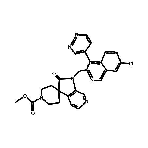 COC(=O)N1CCC2(CC1)C(=O)N(Cc1ncc3cc(Cl)ccc3c1-c1ccnnc1)c1cnccc12